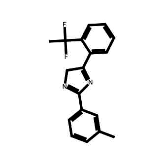 Cc1cccc(C2=NCC(c3ccccc3C(C)(F)F)=N2)c1